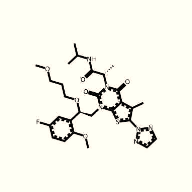 COCCCO[C@@H](Cn1c(=O)n([C@@H](C)C(=O)NC(C)C)c(=O)c2c(C)c(-n3nccn3)sc21)c1cc(F)ccc1OC